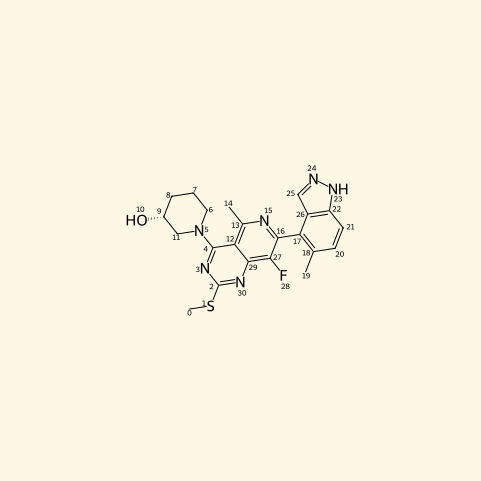 CSc1nc(N2CCC[C@@H](O)C2)c2c(C)nc(-c3c(C)ccc4[nH]ncc34)c(F)c2n1